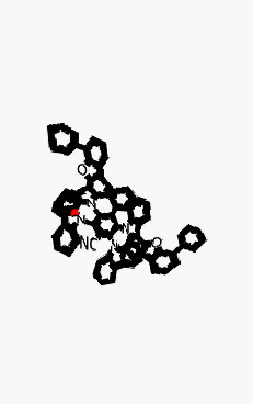 N#Cc1c(-n2c3ccccc3c3ccccc32)c(-n2c3ccccc3c3c4oc5c(-c6ccccc6)cccc5c4ccc32)c(-c2ccccc2)c(-n2c3ccccc3c3c4oc5c(-c6ccccc6)cccc5c4ccc32)c1-n1c2ccccc2c2ccccc21